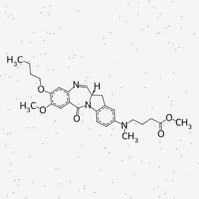 CCCCOc1cc2c(cc1OC)C(=O)N1c3ccc(N(C)CCCC(=O)OC)cc3C[C@H]1C=N2